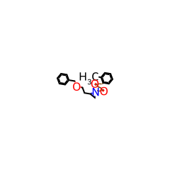 Cc1ccccc1S(=O)(=O)[N@]1CC1CCOCc1ccccc1